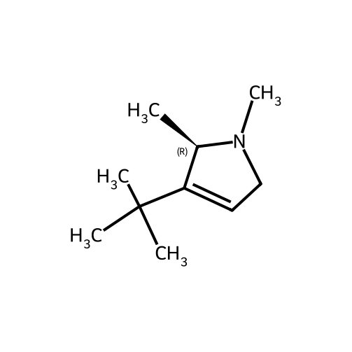 C[C@@H]1C(C(C)(C)C)=CCN1C